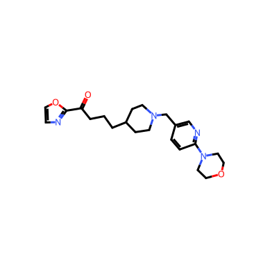 O=C(CCCC1CCN(Cc2ccc(N3CCOCC3)nc2)CC1)c1ncco1